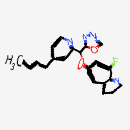 CC/C=C/c1ccnc(C(Oc2cc(F)c3c(c2)=CCCN=3)c2nnco2)c1